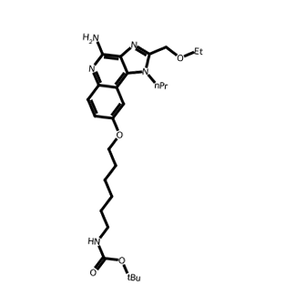 CCCn1c(COCC)nc2c(N)nc3ccc(OCCCCCCNC(=O)OC(C)(C)C)cc3c21